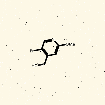 COc1cc(CO)c(Br)cn1